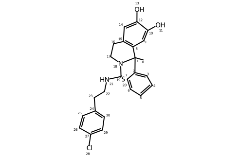 CC1(c2ccccc2)c2cc(O)c(O)cc2CCN1C(=S)NCCc1ccc(Cl)cc1